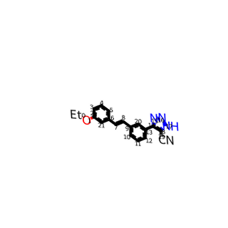 CCOc1cccc(/C=C/c2cccc(-c3nn[nH]c3C#N)c2)c1